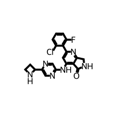 O=C1NCc2nc(-c3c(F)cccc3Cl)cc(Nc3cnc(C4CCN4)cn3)c21